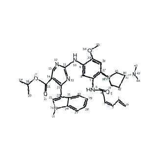 C=C/C=C\C(=O)Nc1cc(Nc2ncc(C(=O)OC(C)C)c(-c3cn(C)c4ccccc34)n2)c(OC)cc1N1CC[C@@H](N(C)C)C1